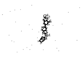 Cn1cc2cc(-c3cc4sc(NC5CC6CCC(C5)N6)nc4cn3)cc(F)c2n1